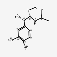 CC[C@H](NC(C)C)[C@@H](O)c1ccc(O)c(O)c1